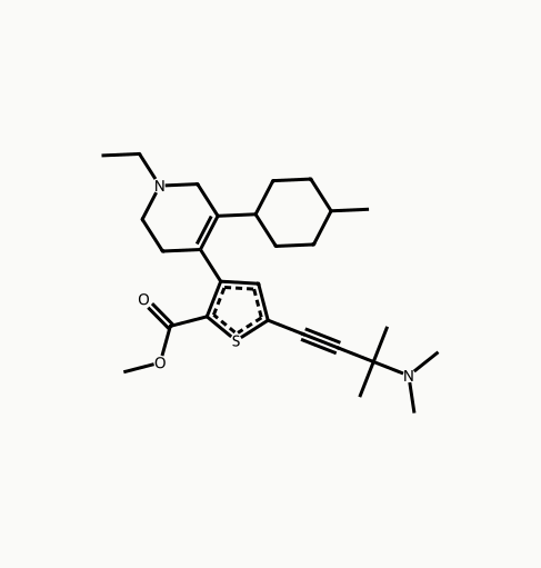 CCN1CCC(c2cc(C#CC(C)(C)N(C)C)sc2C(=O)OC)=C(C2CCC(C)CC2)C1